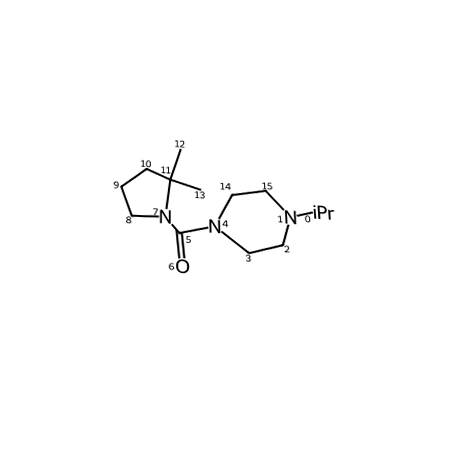 CC(C)N1CCN(C(=O)N2CCCC2(C)C)CC1